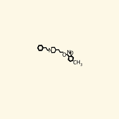 Cc1ccc2c(OCCCC3CCN(CCc4ccccc4)CC3)noc2c1